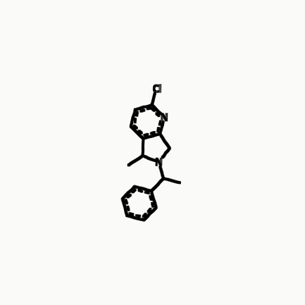 CC(c1ccccc1)N1Cc2nc(Cl)ccc2C1C